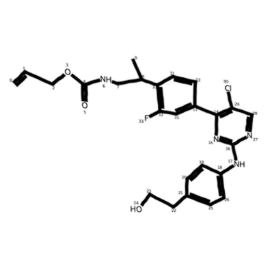 C=CCOC(=O)NCC(C)c1ccc(-c2nc(Nc3ccc(CCO)cc3)ncc2Cl)cc1F